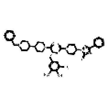 Cc1cc(C[C@@H](OC(=O)N2CCC(n3nc(-c4ccccc4)[nH]c3=O)CC2)C(=O)N2CCC(C3CCN(Cc4ccccc4)CC3)CC2)cc(C)c1O